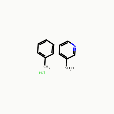 Cc1ccccc1.Cl.O=S(=O)(O)c1cccnc1